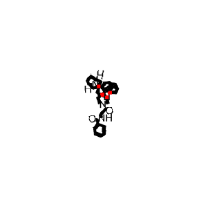 Cc1nc2ccccc2n1[C@H]1C[C@H]2CC[C@@H](C1)N2CCC1(c2ccccc2)CCN(C(=O)CNC(=O)c2ccccc2)CC1